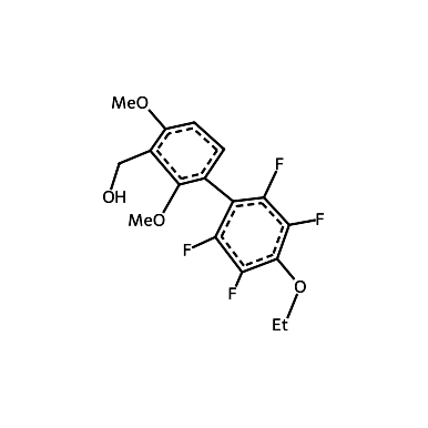 [CH2]COc1c(F)c(F)c(-c2ccc(OC)c(CO)c2OC)c(F)c1F